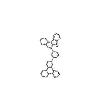 c1cc(-c2ccc3c4ccccc4c4ccccc4c3c2)cc(-c2cc3ccccc3c3c2sc2ccccc23)c1